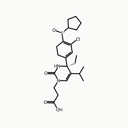 CC[C@@]1(C2=CC(Cl)=C([S+]([O-])C3CCCC3)CC2)NC(=O)N(CCC(=O)O)C=C1C(C)C